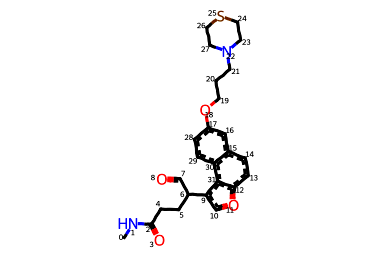 CNC(=O)CCC(C=O)c1coc2ccc3cc(OCCCN4CCSCC4)ccc3c12